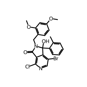 COc1ccc(CN2C(=O)c3c(Cl)ncc(Br)c3C2(O)c2ccccc2C)c(OC)c1